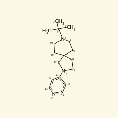 CC(C)(C)N1CCC2(CCN(c3ccncc3)C2)CC1